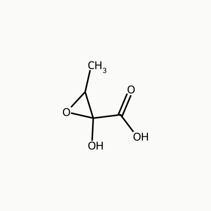 CC1OC1(O)C(=O)O